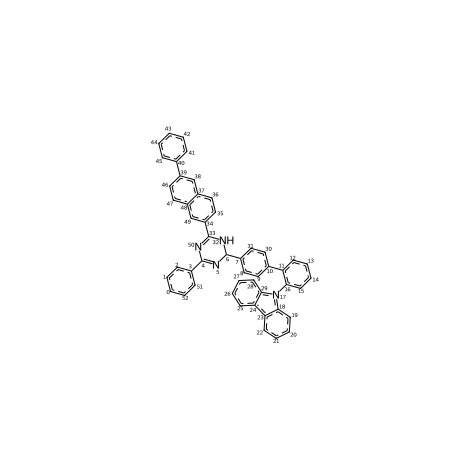 c1ccc(C2=NC(c3ccc(-c4ccccc4-n4c5ccccc5c5ccccc54)cc3)NC(c3ccc4cc(-c5ccccc5)ccc4c3)=N2)cc1